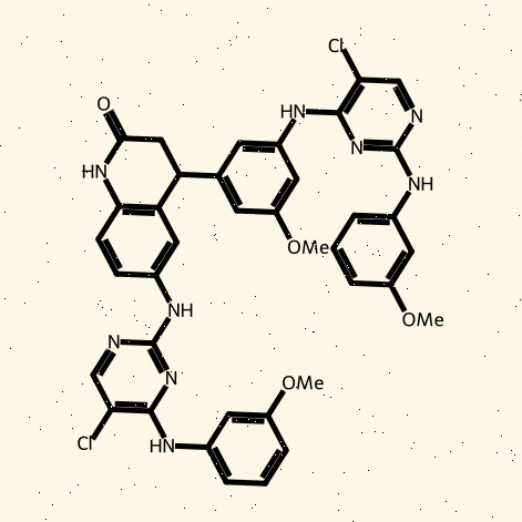 COc1cccc(Nc2ncc(Cl)c(Nc3cc(OC)cc(C4CC(=O)Nc5ccc(Nc6ncc(Cl)c(Nc7cccc(OC)c7)n6)cc54)c3)n2)c1